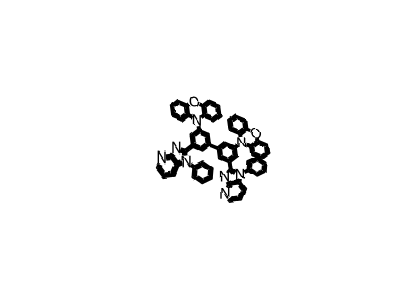 c1ccc(-n2c(-c3cc(-c4cc(-c5nc6ncccc6n5-c5ccccc5)cc(N5c6ccccc6Oc6ccccc65)c4)cc(N4c5ccccc5Oc5ccccc54)c3)nc3ncccc32)cc1